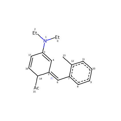 CCN(CC)C1=C/C(=C\c2ccccc2C)C(C(C)=O)C=C1